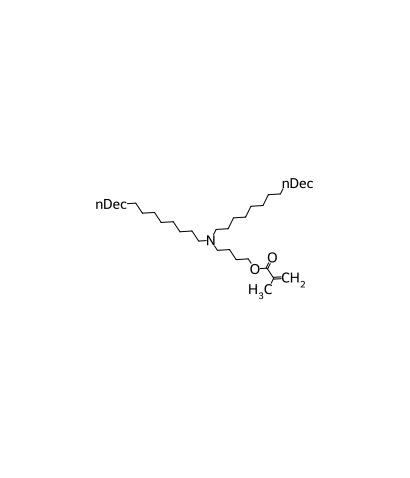 C=C(C)C(=O)OCCCCN(CCCCCCCCCCCCCCCCCC)CCCCCCCCCCCCCCCCCC